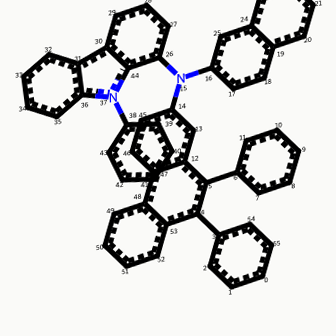 c1ccc(-c2c(-c3ccccc3)c3cc(N(c4ccc5ccccc5c4)c4cccc5c6ccccc6n(-c6ccccc6)c45)ccc3c3ccccc23)cc1